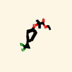 CCOC(=O)C(C)(C)Oc1ccc(C2CC2(Cl)Cl)cc1